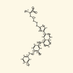 CC(C)C(COCCCc1nc(-c2cc3c(Nc4ccc(OCc5cccc(F)c5)c(Br)c4)ncnc3cn2)cs1)=S(=O)=O